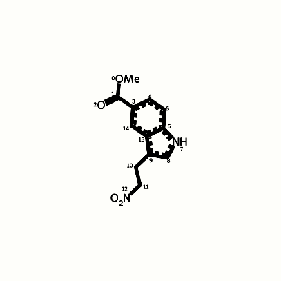 COC(=O)c1ccc2[nH]cc(CC[N+](=O)[O-])c2c1